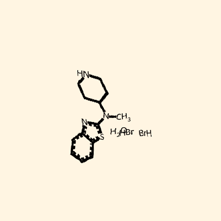 Br.Br.CN(c1nc2ccccc2s1)C1CCNCC1.O